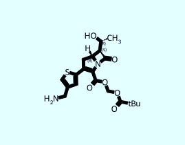 C[C@@H](O)[C@H]1C(=O)N2C(C(=O)OCOC(=O)C(C)(C)C)=C(c3cc(CN)cs3)C[C@H]12